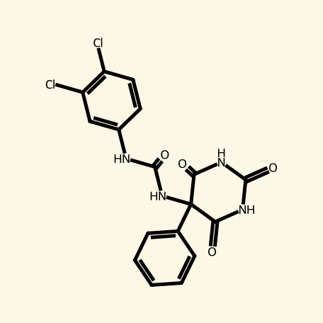 O=C1NC(=O)C(NC(=O)Nc2ccc(Cl)c(Cl)c2)(c2ccccc2)C(=O)N1